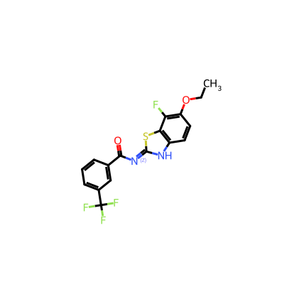 CCOc1ccc2[nH]/c(=N/C(=O)c3cccc(C(F)(F)F)c3)sc2c1F